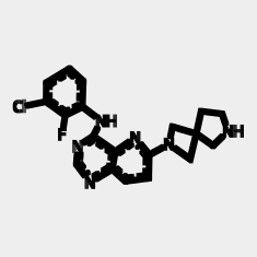 Fc1c(Cl)cccc1Nc1ncnc2ccc(N3CC4(CCNC4)C3)nc12